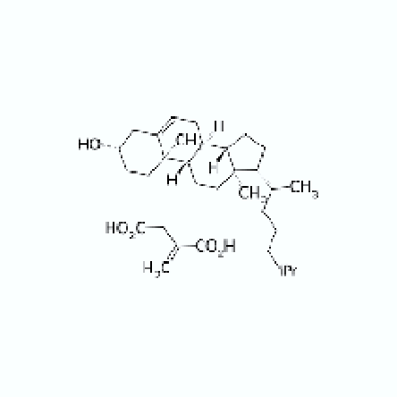 C=C(CC(=O)O)C(=O)O.CC(C)CCCC(C)[C@H]1CC[C@H]2[C@@H]3CC=C4C[C@@H](O)CC[C@]4(C)[C@H]3CC[C@]12C